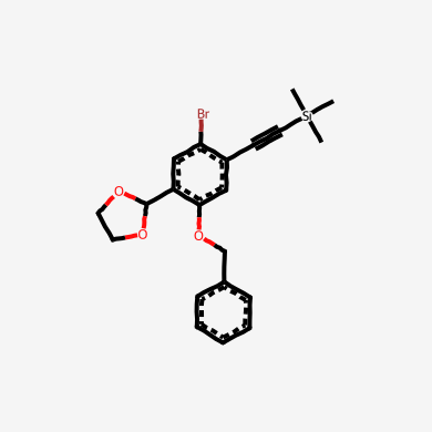 C[Si](C)(C)C#Cc1cc(OCc2ccccc2)c(C2OCCO2)cc1Br